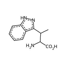 CC(c1n[nH]c2ccccc12)C(N)C(=O)O